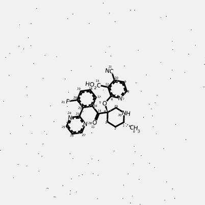 C[C@@H]1CC[C@](Oc2nccc(C#N)c2C(=O)O)(C(=O)c2cccc(F)c2-c2ncccn2)CN1